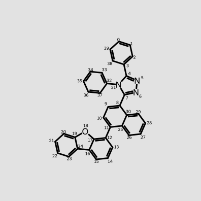 c1ccc(-c2nnc(-c3ccc(-c4cccc5c4oc4ccccc45)c4ccccc34)n2-c2ccccc2)cc1